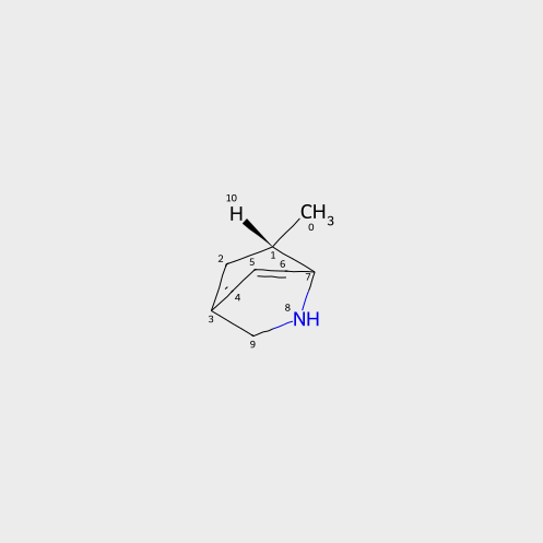 C[C@H]1CC2=CC=CC1NC2